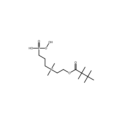 CC(C)(C)C(C)(C)C(=O)OCC[N+](C)(C)CCCP(=O)(O)OO